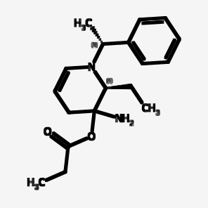 CCC(=O)OC1(N)CC=CN([C@H](C)c2ccccc2)[C@H]1CC